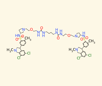 Cc1ccc(C2CN(C)Cc3c(Cl)cc(Cl)cc32)cc1S(=O)(=O)N[C@@H]1CCN(CCOCCNC(=O)NCCCCNC(=O)NCCOCCN2CC[C@@H](NS(=O)(=O)c3cc(C4CN(C)Cc5c(Cl)cc(Cl)cc54)ccc3C)C2)C1